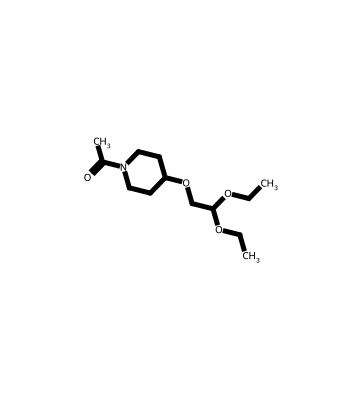 CCOC(COC1CCN(C(C)=O)CC1)OCC